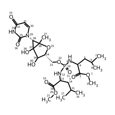 COC(=O)C(CC(C)C)NP(=O)(NC(CC(C)C)C(=O)OC)OC[C@H]1OC2(C)[C@@H](n3ccc(=O)[nH]c3=O)C2(O)C1O